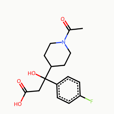 CC(=O)N1CCC(C(O)(CC(=O)O)c2ccc(F)cc2)CC1